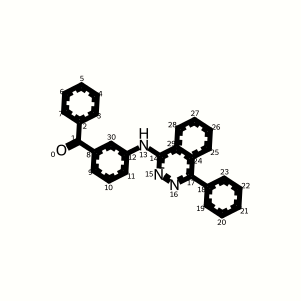 O=C(c1ccccc1)c1cccc(Nc2nnc(-c3ccccc3)c3ccccc23)c1